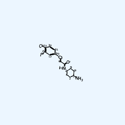 N[C@H]1CC[C@H](NC(=O)COc2ccc(Cl)c(F)c2)CC1